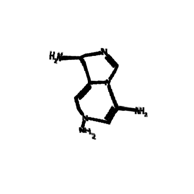 NC1=CN(N)C=C2C(N)N=CN12